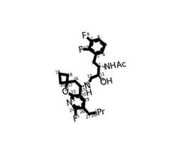 CC(=O)N[C@@H](Cc1cccc(F)c1F)[C@@H](O)CN[C@H]1CC2(CCC2)Oc2nc(F)c(CC(C)C)cc21